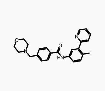 O=C(Nc1ccc(I)c(-c2ccccn2)c1)c1ccc(CN2CCOCC2)cc1